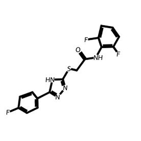 O=C(CSc1nnc(-c2ccc(F)cc2)[nH]1)Nc1c(F)cccc1F